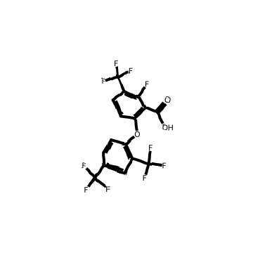 O=C(O)c1c(Oc2ccc(C(F)(F)F)cc2C(F)(F)F)ccc(C(F)(F)F)c1F